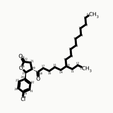 CCCCCCCCCCC(CCC)CCCCC(=O)[C@H]1CC(=O)O[C@@H]1c1ccc(Cl)cc1